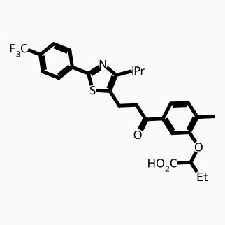 CCC(Oc1cc(C(=O)CCc2sc(-c3ccc(C(F)(F)F)cc3)nc2C(C)C)ccc1C)C(=O)O